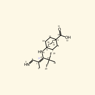 C/C(C=N)=C(/NC12CCC(C(=O)O)(CC1)CC2)C(C)(F)F